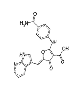 NC(=O)c1ccc(NC2=C(C(=O)O)C(=O)C(=Cc3c[nH]c4ncccc34)O2)cc1